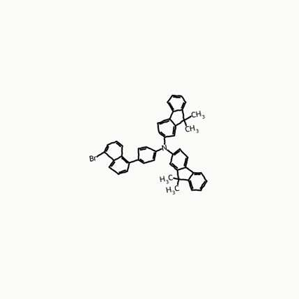 CC1(C)c2ccccc2-c2ccc(N(c3ccc(-c4cccc5c(Br)cccc45)cc3)c3ccc4c(c3)C(C)(C)c3ccccc3-4)cc21